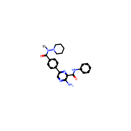 CCN(C(=O)c1ccc(-c2cnc(N)c(C(=O)Nc3ccccc3)n2)cc1)N1CCCCC1